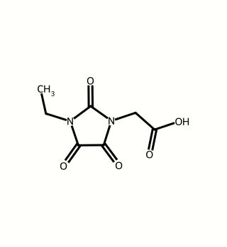 CCN1C(=O)C(=O)N(CC(=O)O)C1=O